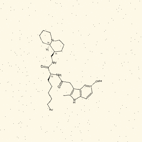 COc1ccc2[nH]c(C)c(CC(=O)N[C@@H](CCCCCC(C)=O)C(=O)NC[C@@H]3CCCN4CCCC[C@H]34)c2c1